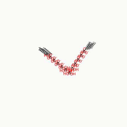 OB(O)O.OB(O)O.OB(O)O.[Al+3].[O-]B([O-])[O-].[O-]B([O-])[O-].[O-]B([O-])[O-].[O-]B([O-])[O-].[O-]B([O-])[O-].[O-]B([O-])[O-].[O-]B([O-])[O-].[O-]B([O-])[O-].[OH-].[Zn+2].[Zn+2].[Zn+2].[Zn+2].[Zn+2].[Zn+2].[Zn+2].[Zn+2].[Zn+2].[Zn+2].[Zn+2]